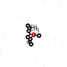 CC1(C)c2ccccc2-c2ccc(C(c3ccc(-c4ccccc4)cc3)c3cccc4c3c(-c3ccccc3)cc3c5ccccc5oc43)cc21